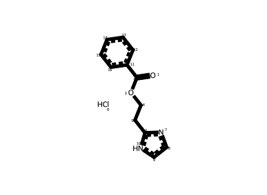 Cl.O=C(OCCc1ncc[nH]1)c1ccccc1